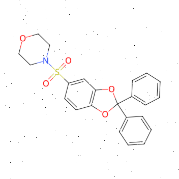 O=S(=O)(c1ccc2c(c1)OC(c1ccccc1)(c1ccccc1)O2)N1CCOCC1